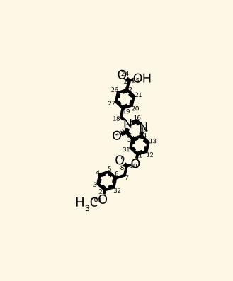 COc1cccc(CC(=O)Oc2ccc3ncn(Cc4ccc(C(=O)O)cc4)c(=O)c3c2)c1